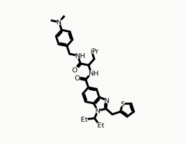 CCC(CC)n1c(Cc2cccs2)nc2cc(C(=O)NC(CC(C)C)C(=O)NCc3ccc(N(C)C)cc3)ccc21